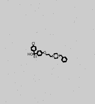 CCC(O)(c1ccc(Cl)cc1)c1ccc(OCCCN2CCN(Cc3ccccc3)CC2)cc1